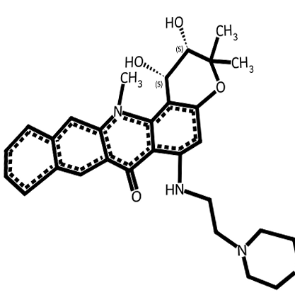 Cn1c2cc3ccccc3cc2c(=O)c2c(NCCN3CCOCC3)cc3c(c21)[C@H](O)[C@H](O)C(C)(C)O3